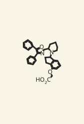 O=C(O)COc1cccc2c1CCC2N1CCCCC1c1nc(-c2ccccc2)c(-c2ccccc2)o1